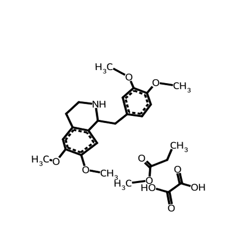 CCC(=O)OC.COc1ccc(CC2NCCc3cc(OC)c(OC)cc32)cc1OC.O=C(O)C(=O)O